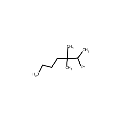 BCCCC(C)(C)C(C)C(C)C